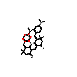 CN(C)c1ccc(/C=C2\c3c(cc4c([n+]3-c3ccccc3)/C(=C/c3ccc(N(C)C)cc3)C(C)(C)CC4=O)C(=O)CC2(C)C)cc1